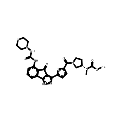 CN(C(=O)OC(C)(C)C)[C@H]1CCN(C(=O)c2ccc(-c3n[nH]c4c3C(=O)c3c(NC(=O)NN5CCOCC5)cccc3-4)s2)C1